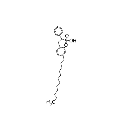 CCCCCCCCCCCCc1ccc(CC(c2ccccc2)S(=O)(=O)O)cc1